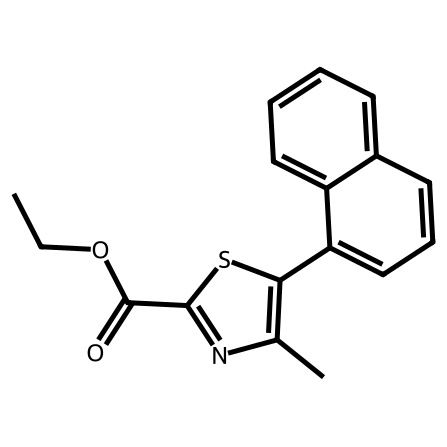 CCOC(=O)c1nc(C)c(-c2cccc3ccccc23)s1